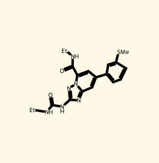 CCNC(=O)Nc1nc2cc(-c3cccc(SC)c3)cc(C(=O)NCC)n2n1